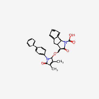 CC1=C(C)C(O/C=C2/C(=O)N(C(=O)O)C3c4ccccc4CC23)N(c2ccc(-c3ccccc3)cc2)C1=O